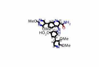 COc1ncc(-c2ccc3c(Nc4cc(C(=O)O)cc(-c5ccnc(OC)c5OC)c4)c(C(N)=O)cnc3c2)c(OC)n1